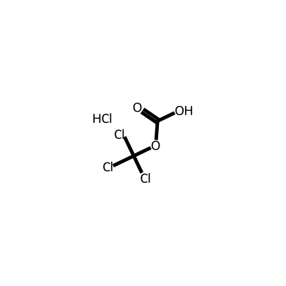 Cl.O=C(O)OC(Cl)(Cl)Cl